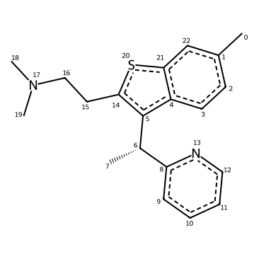 Cc1ccc2c([C@@H](C)c3ccccn3)c(CCN(C)C)sc2c1